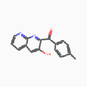 Cc1ccc(C(=O)c2nc3ncccc3cc2O)cc1